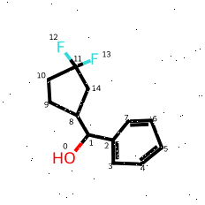 OC(c1ccccc1)C1CCC(F)(F)C1